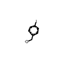 [O]Cc1ccc(I)cc1